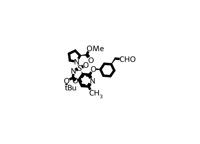 COC(=O)[C@@H]1CCCN1[S@@](=O)(=NC(=O)OC(C)(C)C)c1ccc(C)nc1O[C@@H]1CCC[C@H](CC=O)C1